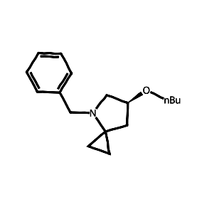 CCCCO[C@@H]1CN(Cc2ccccc2)C2(CC2)C1